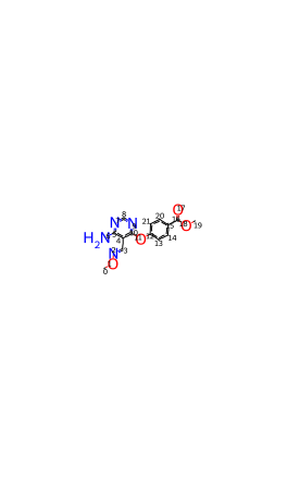 CON=Cc1c(N)ncnc1Oc1ccc(C(=O)OC)cc1